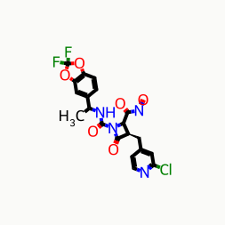 CC(NC(=O)N1C(=O)[C@H](Cc2ccnc(Cl)c2)C1C(=O)N=O)c1ccc2c(c1)OC(F)(F)O2